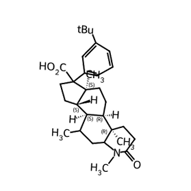 CC1CC2N(C)C(=O)CC[C@]2(C)[C@@H]2CC[C@@]3(C)[C@@H](CCC3(C(=O)O)c3cccc(C(C)(C)C)c3)[C@H]12